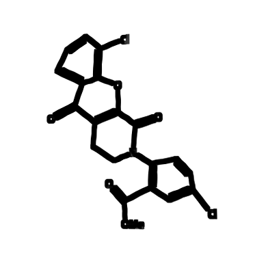 COC(=O)c1cc(Cl)ccc1N1CCc2c(oc3c(Cl)cccc3c2=O)C1=O